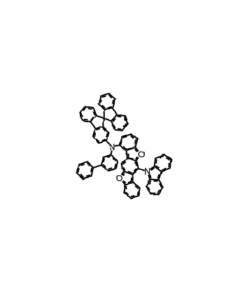 c1ccc(-c2cccc(N(c3ccc4c(c3)C3(c5ccccc5-c5ccccc53)c3ccccc3-4)c3cccc4oc5c(-n6c7ccccc7c7ccccc76)c6c(cc5c34)oc3ccccc36)c2)cc1